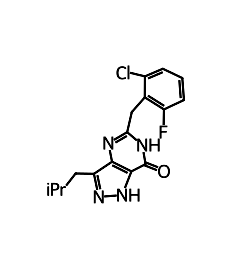 CC(C)Cc1n[nH]c2c(=O)[nH]c(Cc3c(F)cccc3Cl)nc12